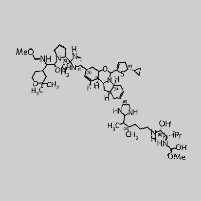 COCNC(C1CCOC(C)(C)C1)C(O)N1CCC[C@H]1C1(C)NC[C@H]([C@@H]2C=C(F)[C@H]3C(C2)OC(C2=CC[C@H](C4CC4)S2)N2C3C[C@@H]3CC([C@@H]4CNC(C(C)[C@@H](C)CCCN[C@H](O)[C@@H](NC(O)OC)C(C)C)N4)=CC[C@@H]32)N1